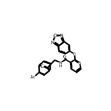 CC(=O)C1CC2C=CC1CC2CNC(=O)c1cccnc1Oc1ccc2nonc2c1